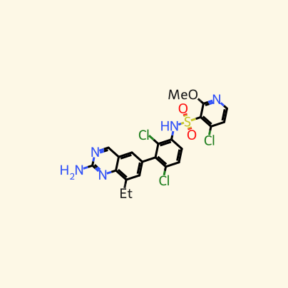 CCc1cc(-c2c(Cl)ccc(NS(=O)(=O)c3c(Cl)ccnc3OC)c2Cl)cc2cnc(N)nc12